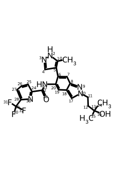 Cc1[nH]ncc1-c1cc2nn(CCC(C)(C)O)cc2cc1NC(=O)c1cccc(C(F)(F)F)n1